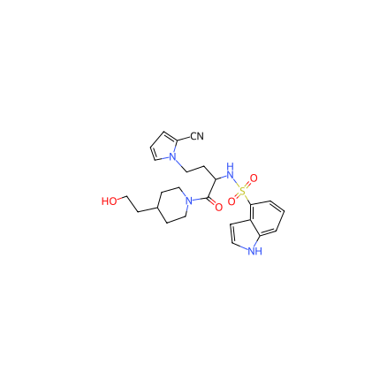 N#Cc1cccn1CCC(NS(=O)(=O)c1cccc2[nH]ccc12)C(=O)N1CCC(CCO)CC1